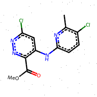 COC(=O)c1nnc(Cl)cc1Nc1ccc(Cl)c(C)n1